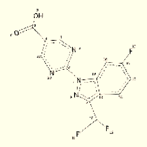 O=C(O)c1cnc(-n2nc(C(F)F)c3ccc(F)cc32)nc1